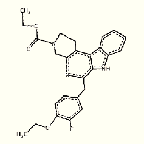 CCOC(=O)N1CCc2c(nc(Cc3ccc(OCC)c(F)c3)c3[nH]c4ccccc4c23)C1